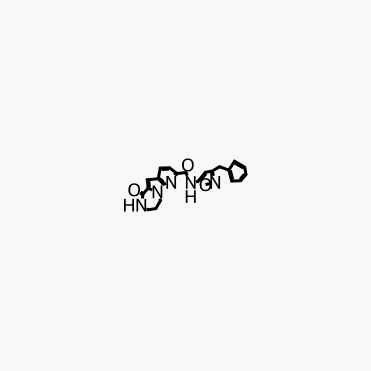 O=C(Nc1cc(Cc2ccccc2)no1)c1ccc2cc3n(c2n1)CCCNC3=O